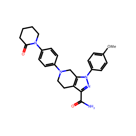 COc1ccc(-n2nc(C(N)=O)c3c2CN(c2ccc(N4CCCCC4=O)cc2)CC3)cc1